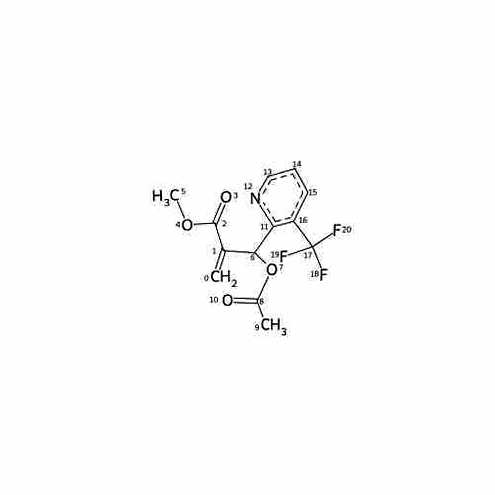 C=C(C(=O)OC)C(OC(C)=O)c1ncccc1C(F)(F)F